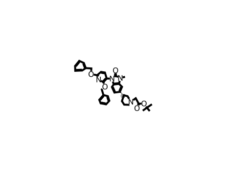 Cn1c(=O)n(-c2ccc(OCc3ccccc3)nc2OCc2ccccc2)c2ccc([C@H]3CCCN(CC(=O)OC(C)(C)C)C3)cc21